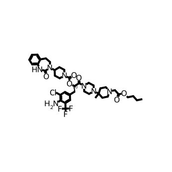 CCCCOC(=O)CN1CCC(C)(N2CCN(C(=O)[C@@H](Cc3cc(Cl)c(N)c(C(F)(F)F)c3)OC(=O)N3CCC(N4CCc5ccccc5NC4=O)CC3)CC2)CC1